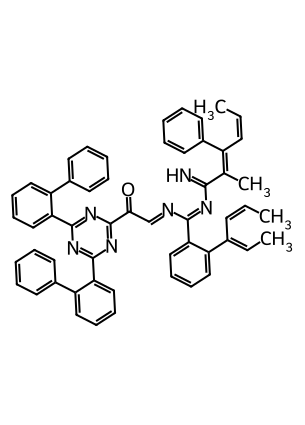 C/C=C\C(=C(/C)C(=N)/N=C(\N=C\C(=O)c1nc(-c2ccccc2-c2ccccc2)nc(-c2ccccc2-c2ccccc2)n1)c1ccccc1C(/C=C\C)=C/C)c1ccccc1